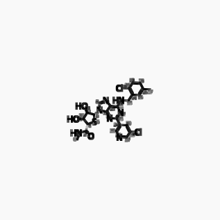 CNC(=O)[C@H]1S[C@@H](n2cnc3c(NCc4cc(C)ccc4Cl)nc(-c4cncc(Cl)c4)nc32)[C@H](O)[C@@H]1O